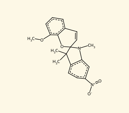 COc1cccc2c1OC1(C=C2)N(C)c2cc([N+](=O)[O-])ccc2C1(C)C